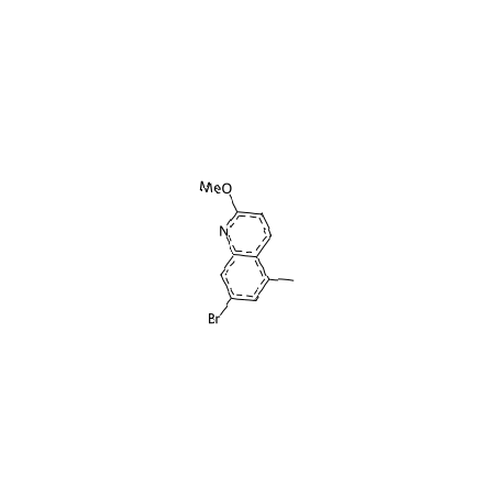 COc1ccc2c(C)cc(Br)cc2n1